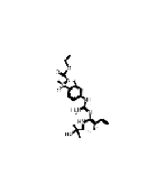 C=C/C(Br)=C(\N=C(/N)Nc1ccc(S(C)(=O)=NC(=O)OCC)c(C)c1)N[C@H](C)C(C)(C)O